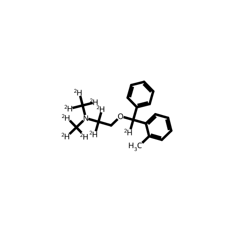 [2H]C(OCC([2H])([2H])N(C([2H])([2H])[2H])C([2H])([2H])[2H])(c1ccccc1)c1ccccc1C